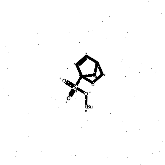 CC(C)(C)OS(=O)(=O)C12C=CC(CC1)C2